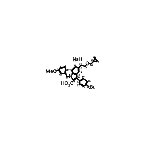 COc1cccc(Cn2c(C(=O)O)c(-c3ccc(C(C)(C)C)cc3)c3cc(CCOCC4CC4)ccc32)c1.[NaH]